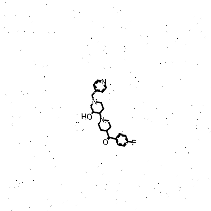 O=C(c1ccc(F)cc1)C1CCN(C2CCN(Cc3ccncc3)CC2O)CC1